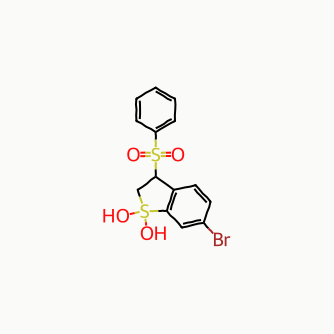 O=S(=O)(c1ccccc1)C1CS(O)(O)c2cc(Br)ccc21